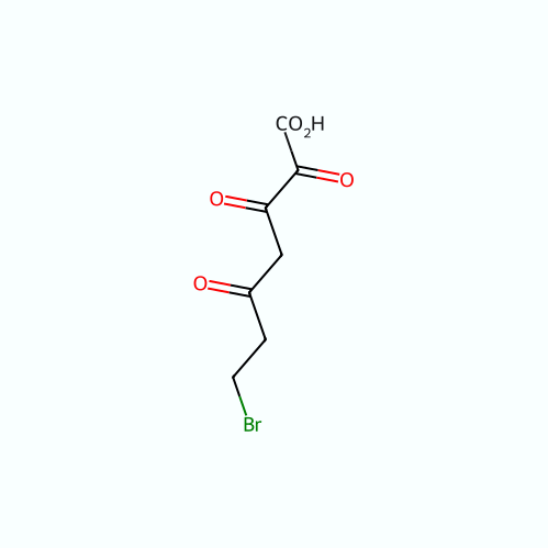 O=C(CCBr)CC(=O)C(=O)C(=O)O